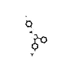 O=C(Nc1ccc(OC(F)(F)F)cc1)N1CC(c2ccccc2)C(c2ccc(OC(F)F)cc2)=N1